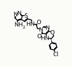 Nc1cnnc2sc(CNC(=O)Cn3cnc4c(c3=O)N[C@H](c3ccc(Cl)cc3)CO4)cc12